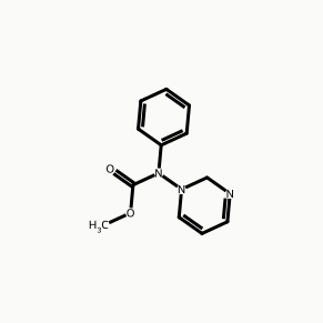 COC(=O)N(c1ccccc1)N1C=CC=NC1